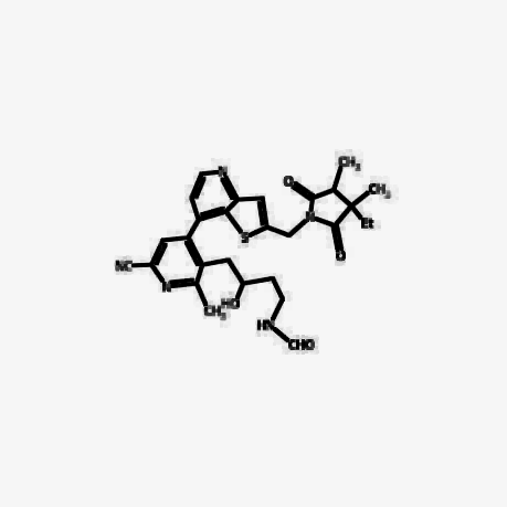 CCC1(C)C(=O)N(Cc2cc3nccc(-c4cc(C#N)nc(C)c4CC(O)CCNC=O)c3s2)C(=O)C1C